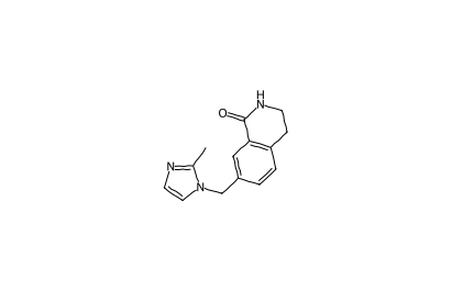 Cc1nccn1Cc1ccc2c(c1)C(=O)NCC2